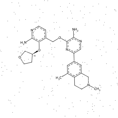 Cc1cc(-c2cnc(N)c(OCc3ccnc(N)c3O[C@H]3CCOC3)n2)cc2c1CCN(C)C2